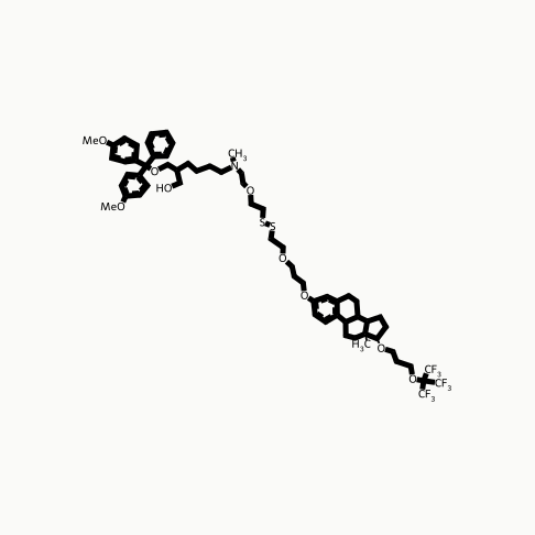 COc1ccc(C(OCC(CO)CCCCN(C)CCOCCSSCCOCCCOc2ccc3c(c2)CCC2C3CC[C@@]3(C)C2CC[C@@H]3OCCCOC(C(F)(F)F)(C(F)(F)F)C(F)(F)F)(c2ccccc2)c2ccc(OC)cc2)cc1